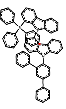 c1ccc(-c2ccc(-n3c4ccccc4c4c(-n5c6ccccc6c6cccc([Si](c7ccccc7)(c7ccccc7)c7ccccc7)c65)cccc43)c(-c3ccccc3)c2)cc1